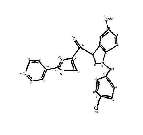 COc1ccc2c(c1)C(C(=O)c1csc(-c3ccncc3)n1)CN2Cc1ccc(Cl)cc1